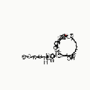 COCCOCCOCCOCCNC(=O)O[C@@H]1CC[C@@H](C[C@@H](C)[C@@H]2C[C@@H](O)[C@H](C)/C=C(\C)[C@@H](O)[C@@H](OC)C(=O)[C@H](C)C[C@H](C)/C=C/C=C/C=C(\C)[C@@H](OC)C[C@@H]3CC[C@@H](C)[C@@](O)(O3)C(=O)CN3CCCC[C@H]3C(=O)O2)C[C@H]1OC